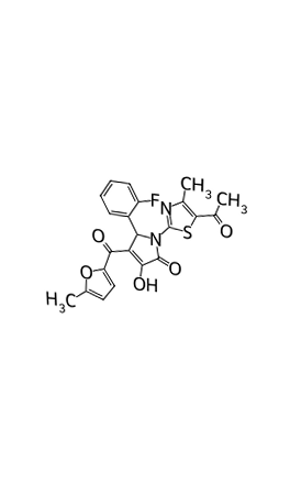 CC(=O)c1sc(N2C(=O)C(O)=C(C(=O)c3ccc(C)o3)C2c2ccccc2F)nc1C